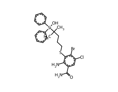 CC(C)(CCCSc1c(N)c(C(N)=O)cc(Cl)c1Br)[Si](O)(c1ccccc1)c1ccccc1